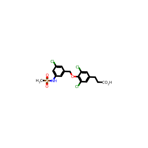 CS(=O)(=O)Nc1cc(Cl)cc(COc2c(Cl)cc(CCC(=O)O)cc2Cl)c1